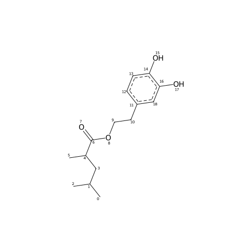 CC(C)CC(C)C(=O)OCCc1ccc(O)c(O)c1